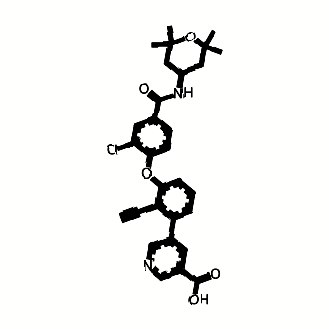 C#Cc1c(Oc2ccc(C(=O)NC3CC(C)(C)OC(C)(C)C3)cc2Cl)cccc1-c1cncc(C(=O)O)c1